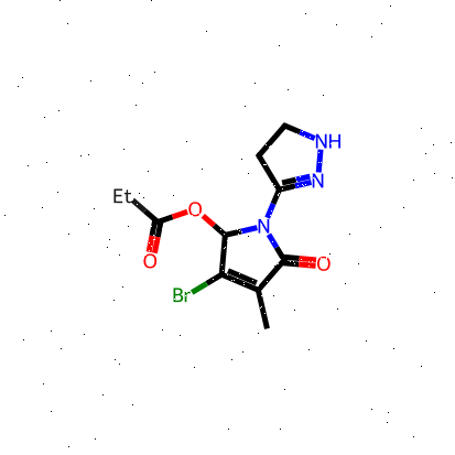 CCC(=O)OC1C(Br)=C(C)C(=O)N1C1=NNCC1